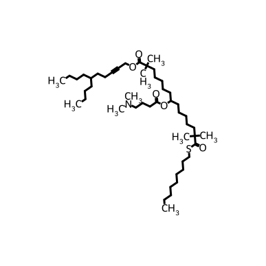 CCCCCCCCCSC(=O)C(C)(C)CCCCCC(CCCCCC(C)(C)C(=O)OCC#CCCC(CCCC)CCCC)OC(=O)CCCN(C)C